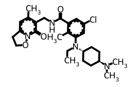 CCN(c1cc(Cl)cc(C(=O)NCc2c(C)cc3n(c2=O)OCC3)c1C)[C@H]1CC[C@H](N(C)C)CC1